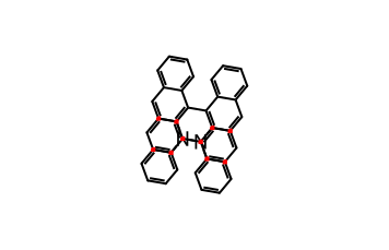 c1ccc(N(c2ccccc2)c2ccc3ccccc3c2-c2c(N(c3ccccc3)c3ccccc3)ccc3ccccc23)cc1